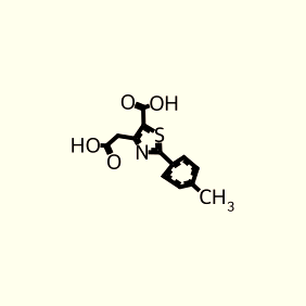 Cc1ccc(-c2nc(CC(=O)O)c(C(=O)O)s2)cc1